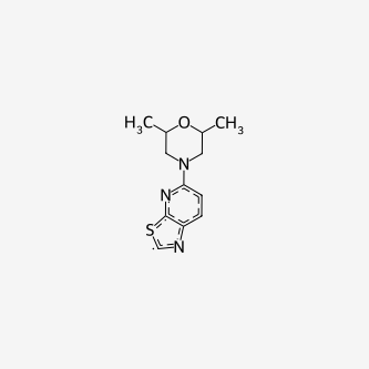 CC1CN(c2ccc3n[c]sc3n2)CC(C)O1